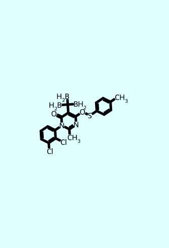 BC(B)(B)c1c(OSc2ccc(C)cc2)nc(C)n(-c2cccc(Cl)c2Cl)c1=O